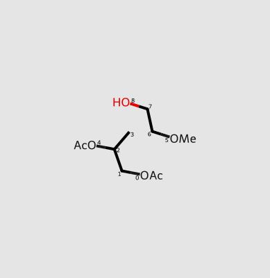 CC(=O)OCC(C)OC(C)=O.COCCO